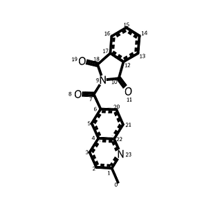 Cc1ccc2cc(C(=O)N3C(=O)c4ccccc4C3=O)ccc2n1